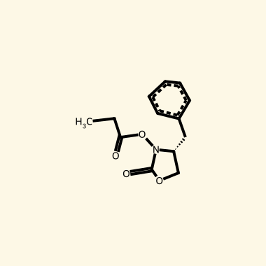 CCC(=O)ON1C(=O)OC[C@H]1Cc1ccccc1